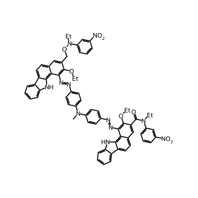 CCOc1c(CON(CC)c2cccc([N+](=O)[O-])c2)cc2ccc3c4ccccc4[nH]c3c2c1N=Nc1ccc(N(C)c2ccc(N=Nc3c(OCC)c(C(=O)N(CC)c4cccc([N+](=O)[O-])c4)cc4ccc5c6ccccc6[nH]c5c34)cc2)cc1